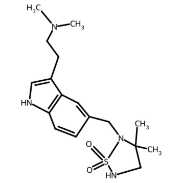 CN(C)CCc1c[nH]c2ccc(CN3C(C)(C)CNS3(=O)=O)cc12